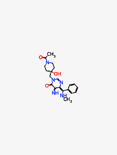 CN/C(=C1/N=CN(CC2(O)CCN(C(C)=O)CC2)C(=O)C1=N)c1ccccc1